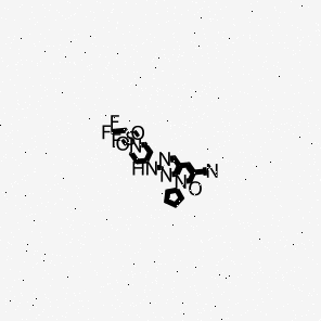 N#Cc1cc2cnc(NC3CCN(S(=O)(=O)CC(F)(F)F)CC3)nc2n(C2CCCC2)c1=O